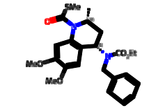 CCOC(=O)N(Cc1ccccc1)[C@H]1C[C@@H](C)N(C(=O)SC)c2cc(OC)c(OC)cc21